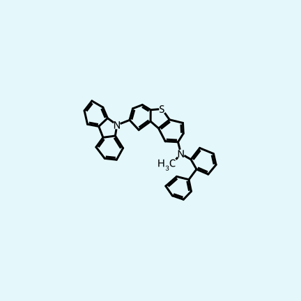 CN(c1ccc2sc3ccc(-n4c5ccccc5c5ccccc54)cc3c2c1)c1ccccc1-c1ccccc1